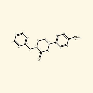 COc1ccc(N2CCN(Cc3ccccc3)C(=O)C2)cc1